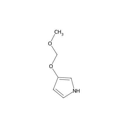 COCOc1cc[nH]c1